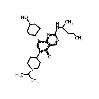 CCCC(C)Nc1ncc2c(=O)n(C3CCN(C(C)C)CC3)cc([C@H]3CC[C@H](O)CC3)c2n1